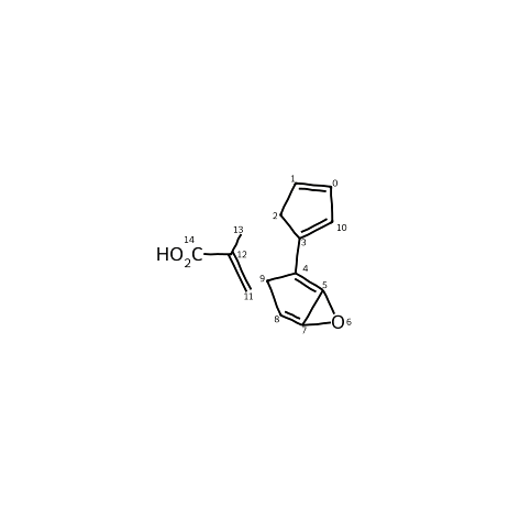 C1=CCC(C2=C3OC3=CC2)=C1.C=C(C)C(=O)O